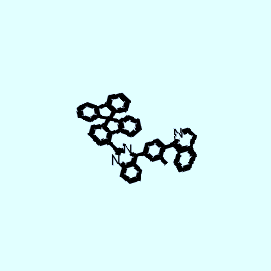 Cc1cc(-c2nc(-c3cccc4c3-c3ccccc3C43c4ccccc4-c4ccccc43)nc3ccccc23)ccc1-c1nccc2ccccc12